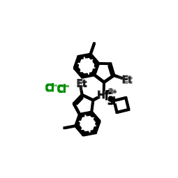 CCC1=Cc2c(C)cccc2[CH]1[Hf+2]([CH]1C(CC)=Cc2c(C)cccc21)=[Si]1CCC1.[Cl-].[Cl-]